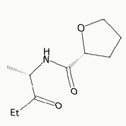 CCC(=O)[C@H](C)NC(=O)[C@H]1CCCO1